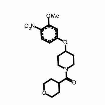 COc1cc(OC2CCN(C(=O)C3CCOCC3)CC2)ccc1[N+](=O)[O-]